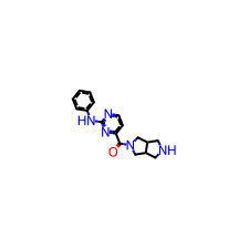 O=C(c1ccnc(Nc2ccccc2)n1)N1CC2CNCC2C1